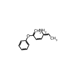 C=C(/C=C\C(N)=C/C)Oc1ccccc1